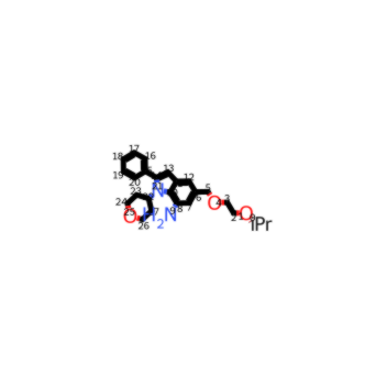 CC(C)OCCOCc1cc(N)c2c(c1)cc(-c1ccccc1)n2C1CCOCC1